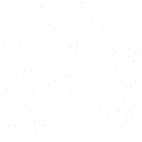 c1ccc(-c2ccc(N(c3ccc(-c4ccccc4)cc3)c3ccc(-c4cccc5c4C4(c6ccccc6-5)c5ccccc5-c5c4ccc4sc6ccccc6c54)cc3)cc2)cc1